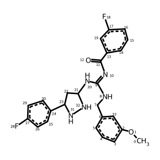 COc1cccc(CN/C(=N/C(=O)c2cccc(F)c2)NC2CC(c3ccc(F)cc3)NN2)c1